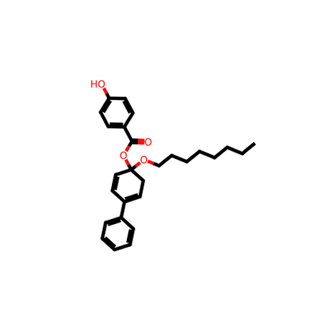 CCCCCCCCOC1(OC(=O)c2ccc(O)cc2)C=CC(c2ccccc2)=CC1